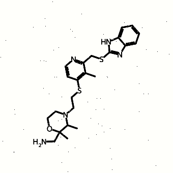 Cc1c(SCCN2CCOC(C)(CN)C2C)ccnc1CSc1nc2ccccc2[nH]1